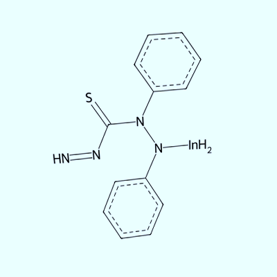 N=NC(=S)N(c1ccccc1)[N]([InH2])c1ccccc1